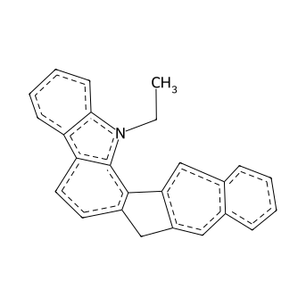 CCn1c2ccccc2c2ccc3c(c21)-c1cc2ccccc2cc1C3